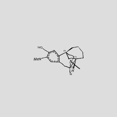 CNc1cc2c(cc1O)[C@@]13CCCC[C@@H](C1)[C@H](C2)N(C)CC3